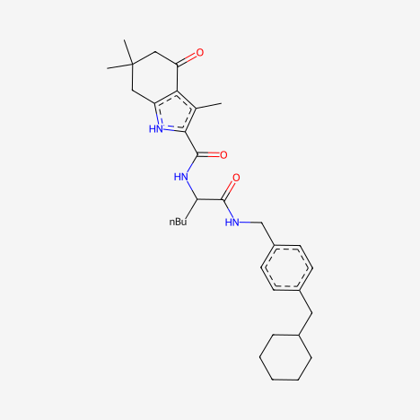 CCCCC(NC(=O)c1[nH]c2c(c1C)C(=O)CC(C)(C)C2)C(=O)NCc1ccc(CC2CCCCC2)cc1